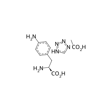 CC(=O)O.Nc1ccc(C[C@H](N)C(=O)O)cc1.c1nnn[nH]1